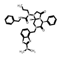 CCCN(C(=O)NCc1ccccc1)N1CC(=O)N2[C@@H](c3ccccc3)C(=O)N(Cc3cccc4sc(N(C)C)nc34)C[C@@H]21